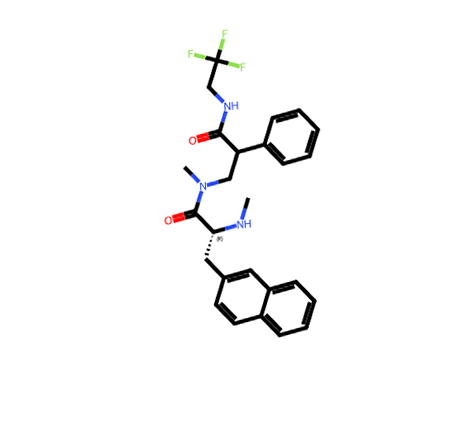 CN[C@H](Cc1ccc2ccccc2c1)C(=O)N(C)CC(C(=O)NCC(F)(F)F)c1ccccc1